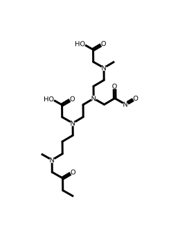 CCC(=O)CN(C)CCCN(CCN(CCN(C)CC(=O)O)CC(=O)N=O)CC(=O)O